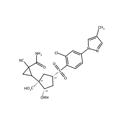 CO[C@H]1C[C@@H](S(=O)(=O)c2ccc(-n3cc(C)cn3)cc2Cl)C[C@]1(C(=O)O)C1CC1(C#N)C(N)=O